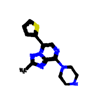 Cc1nc2c(N3CCNCC3)ncc(-c3cccs3)n2n1